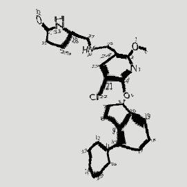 COc1nc(O[C@H]2CCc3c(C4=CCCCC4)cccc32)c(Cl)cc1CNCC1CCC(=O)N1